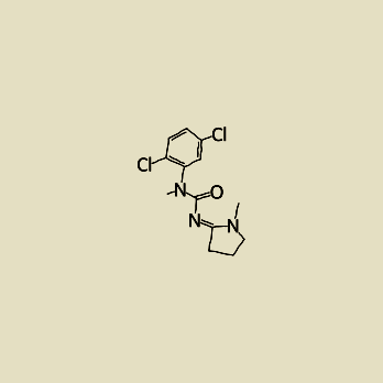 CN1CCC/C1=N/C(=O)N(C)c1cc(Cl)ccc1Cl